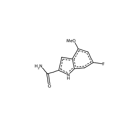 COc1cc(F)cc2[nH]c(C(N)=O)cc12